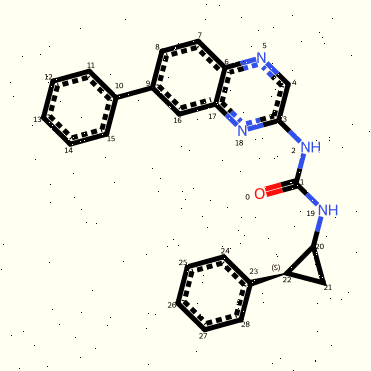 O=C(Nc1cnc2ccc(-c3ccccc3)cc2n1)NC1C[C@H]1c1ccccc1